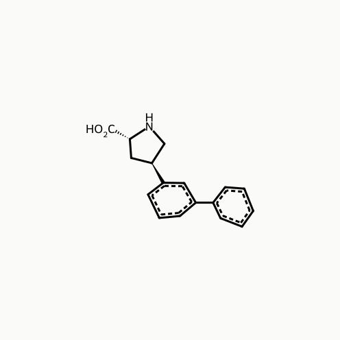 O=C(O)[C@H]1C[C@H](c2cccc(-c3ccccc3)c2)CN1